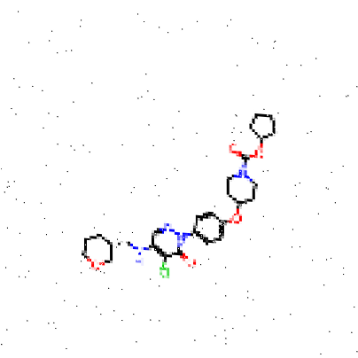 O=C(OC1CCCC1)N1CCC(Oc2ccc(-n3ncc(NC[C@H]4CCCOC4)c(Cl)c3=O)cc2)CC1